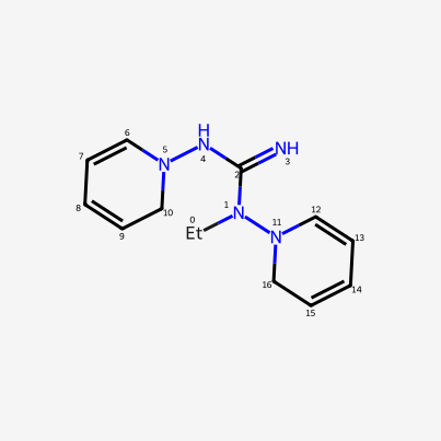 CCN(C(=N)NN1C=CC=CC1)N1C=CC=CC1